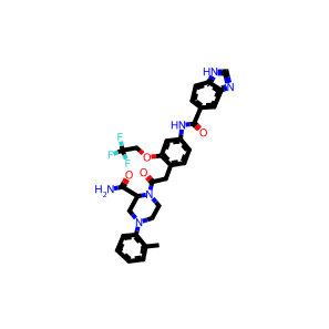 Cc1ccccc1N1CCN(C(=O)Cc2ccc(NC(=O)c3ccc4[nH]cnc4c3)cc2OCC(F)(F)F)C(C(N)=O)C1